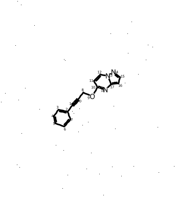 C(#Cc1ccccc1)COc1ccn2nccc2n1